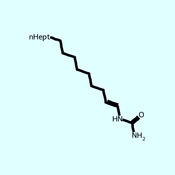 CCCCCCCCCCCCCCC=CNC(N)=O